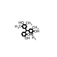 Cc1cc(C(c2cc(C)c(O)c(C)c2)c2cccc(O)c2O)cc(C)c1O